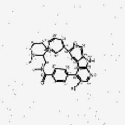 CN(CC1CCCCN1C)C(=O)c1ccc(-c2c(F)cnc3[nH]c4cnc(-c5cccnc5)cc4c23)cc1